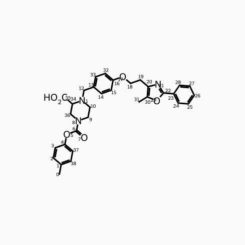 Cc1ccc(OC(=O)N2CCN(Cc3ccc(OCCc4nc(-c5ccccc5)oc4C)cc3)C(C(=O)O)C2)cc1